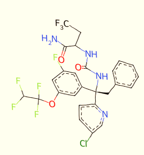 NC(=O)C(CC(F)(F)F)NC(=O)N[C@@](Cc1ccccc1)(c1cc(F)cc(OC(F)(F)C(F)F)c1)c1ccc(Cl)cn1